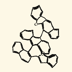 c1ccc2oc(-c3ccc4ccccc4c3-c3c4ccccc4c(-c4c5ccccc5cc5c4oc4ccccc45)c4ccccc34)cc2c1